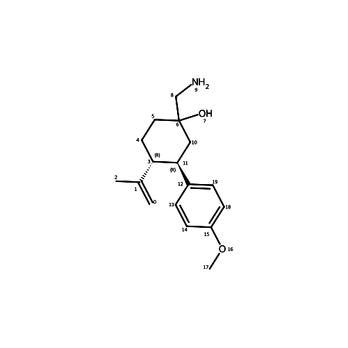 C=C(C)[C@@H]1CCC(O)(CN)C[C@H]1c1ccc(OC)cc1